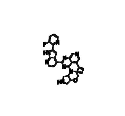 Fc1cccnc1-c1cc2c(-c3nc(N4CCOC5CNCC54)c4c(C5=CC=C5)cncc4n3)ccnc2[nH]1